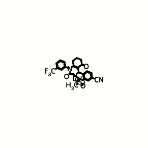 CN1C(=O)N(c2cccc(C(F)(F)F)c2)C2=C(C(=O)CCC2)C1c1ccc(C#N)cc1S(C)(=O)=O